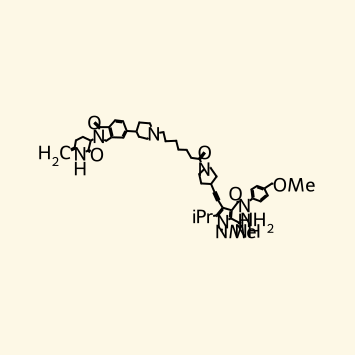 C=C1CCC(N2Cc3cc(C4CCN(CCCCCCC(=O)N5CCC(C#Cc6c(C(=O)Nc7ccc(COC)cc7)c(C(=N)N)n(NC)c6C(C)C)CC5)CC4)ccc3C2=O)C(=O)N1